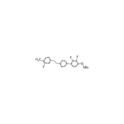 CCCCOc1ccc(-c2ccc(CCc3ccc(C)c(F)c3)cc2)c(F)c1F